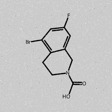 O=C(O)N1CCc2c(Br)cc(F)cc2C1